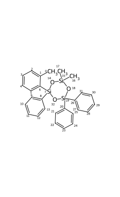 Cc1ccccc1[Si]1(c2ccccc2)O[Si](C)(C)O[Si](c2ccccc2)(c2ccccc2)O1